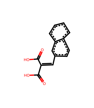 O=C(O)C(=Cc1ccc2ccccc2c1)C(=O)O